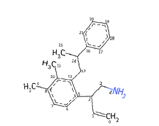 C=CC(CN)c1ccc(C)c(C)c1CC(C)c1ccccc1